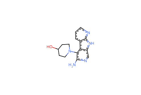 Nc1ncc2[nH]c3ncccc3c2c1N1CCC(O)CC1